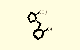 N#Cc1ccccc1CN1CCC[C@H]1C(=O)O